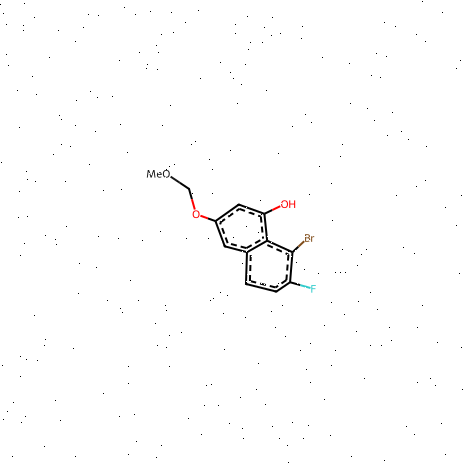 COCOc1cc(O)c2c(Br)c(F)ccc2c1